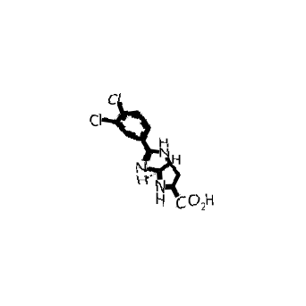 O=C(O)C1C[C@H]2NC(c3ccc(Cl)c(Cl)c3)=N[C@@H]2N1